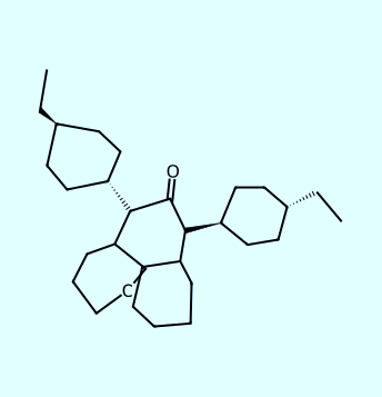 CC[C@H]1CC[C@H](C(C(=O)C(C2CCCCC2)[C@H]2CC[C@H](CC)CC2)C2CCCCC2)CC1